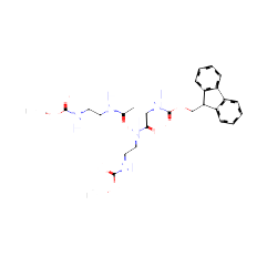 CC(C)(C)OC(=O)NCCNC(=O)C[C@H](NC(=O)OCC1c2ccccc2-c2ccccc21)C(=O)NCCNC(=O)OC(C)(C)C